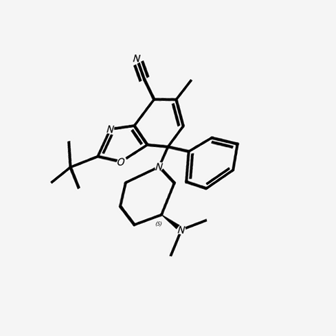 CC1=CC(c2ccccc2)(N2CCC[C@H](N(C)C)C2)c2oc(C(C)(C)C)nc2C1C#N